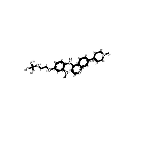 COc1cc(OCCOC(F)(F)F)ccc1Nc1ccnc2cc(C3=CCN(C)CC3)ccc12